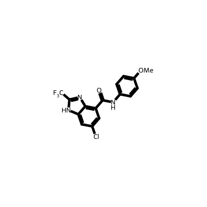 COc1ccc(NC(=O)c2cc(Cl)cc3[nH]c(C(F)(F)F)nc23)cc1